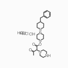 CC(=O)C(C(=O)ON1CCN(N2CCC(Cc3ccccc3)CC2)CC1)N1CCNCC1.Cl.Cl.Cl.Cl